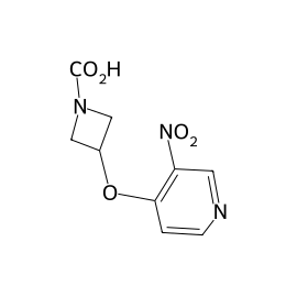 O=C(O)N1CC(Oc2ccncc2[N+](=O)[O-])C1